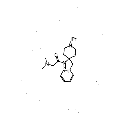 CC(C)N1CCC(Cc2ccccc2)(NC(=O)CN(C)C)CC1